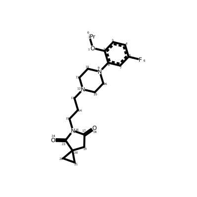 CC(C)Oc1ccc(F)cc1N1CCN(CCCN2C(=O)CC3(CC3)C2=O)CC1